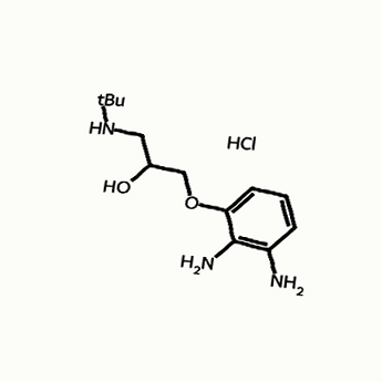 CC(C)(C)NCC(O)COc1cccc(N)c1N.Cl